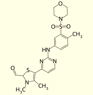 CC1=C(c2ccnc(Nc3ccc(C)c(S(=O)(=O)N4CCOCC4)c3)n2)SC(C=O)N1C